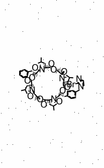 CC(C)C[C@H]1C(=O)O[C@H](Cc2ccc(Cn3ccnc3Br)cc2)C(=O)N(C)[C@@H](CC(C)C)C(=O)O[C@H](C)C(=O)N(C)[C@@H](CC(C)C)C(=O)O[C@H](Cc2ccccc2)C(=O)N(C)[C@@H](CC(C)C)C(=O)O[C@H](C)C(=O)N1C